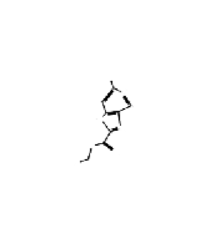 CCOC(=O)c1nc2cnc(F)cc2s1